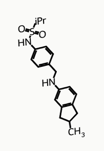 CC1Cc2ccc(NCc3ccc(NS(=O)(=O)C(C)C)cc3)cc2C1